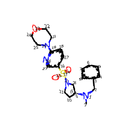 CN(Cc1ccccc1)[C@H]1CCN(S(=O)(=O)c2ccc(N3CCOCC3)nc2)C1